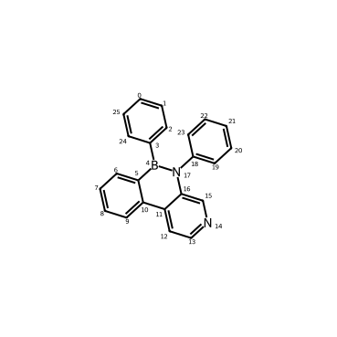 c1ccc(B2c3ccccc3-c3ccncc3N2c2ccccc2)cc1